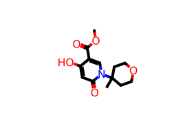 COC(=O)c1cn(C2(C)CCOCC2)c(=O)cc1O